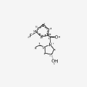 CC[C@@H]1C[C@@H](O)CN1C(=O)c1cccc(F)c1